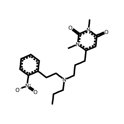 CCCN(CCCc1cc(=O)n(C)c(=O)n1C)CCc1ccccc1[N+](=O)[O-]